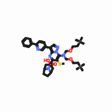 CSc1c(C2CC3CCC(C2)N3C(=O)O)nc2c(-c3ccc(-c4ccccc4)nc3)cnn2c1N(COCC[Si](C)(C)C)COCC[Si](C)(C)C